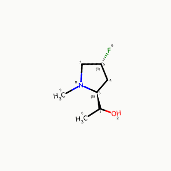 CC(O)[C@@H]1C[C@@H](F)CN1C